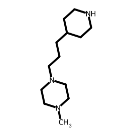 CN1CCN(CCCC2CCNCC2)CC1